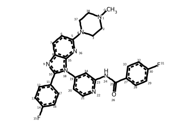 CN1CCN(c2ccc3nc(-c4ccc(F)cc4)n(-c4ccnc(NC(=O)c5ccc(F)cc5)c4)c3n2)CC1